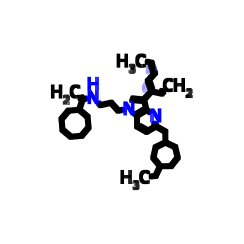 C=C/C(=C\C=C/C)c1cn(CCCNC(=C)C2CCCCCCC2)c2ccc(CC3CCCC(CC)CC3)nc12